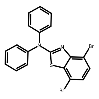 Brc1ccc(Br)c2sc(N(c3ccccc3)c3ccccc3)nc12